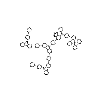 c1ccc(-c2ccc(-n3c4ccccc4c4ccc(-c5ccc(-c6ccc7c(c6)c6cc(-c8ccc(-c9ccc%10c%11ccccc%11n(-c%11ccc(-c%12ccccc%12)cc%11)c%10c9)cc8)ccc6n7-c6ccc(-c7ccc(N(c8ccccc8)c8ccc(-c9cccc%10c9-c9ccccc9C%109c%10ccccc%10-c%10ccccc%109)cc8)c8nsnc78)cc6)cc5)cc43)cc2)cc1